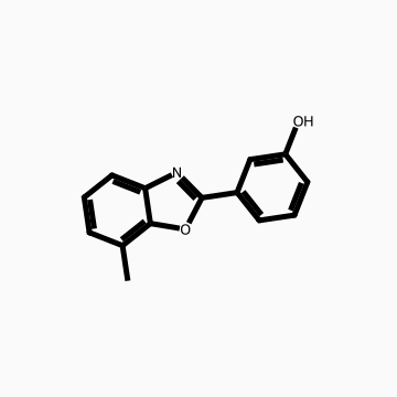 Cc1cccc2nc(-c3cccc(O)c3)oc12